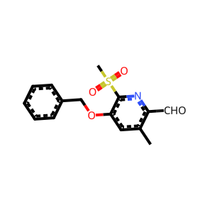 Cc1cc(OCc2ccccc2)c(S(C)(=O)=O)nc1C=O